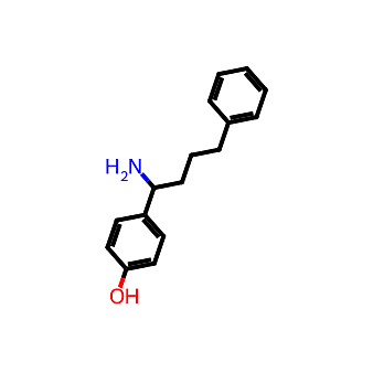 NC(CCCc1ccccc1)c1ccc(O)cc1